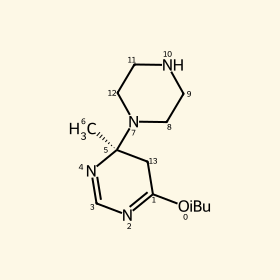 CC(C)COC1=NC=N[C@@](C)(N2CCNCC2)C1